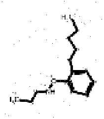 CCCCCc1ccccc1ONCCC